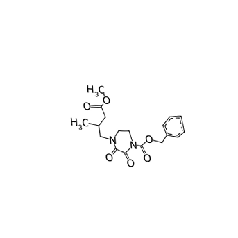 COC(=O)CC(C)CN1CCN(C(=O)OCc2ccccc2)C(=O)C1=O